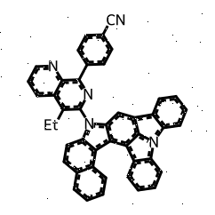 CCc1c(-n2c3ccc4ccccc4c3c3c4c5ccccc5n5c6ccccc6c(cc32)c45)nc(-c2ccc(C#N)cc2)c2ncccc12